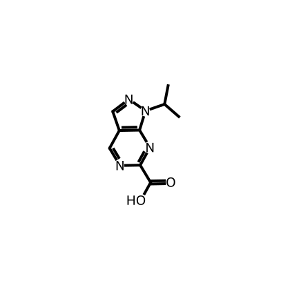 CC(C)n1ncc2cnc(C(=O)O)nc21